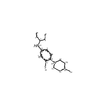 CCC(CC)Nc1ccc(N2CCC(C)CC2)c(F)c1